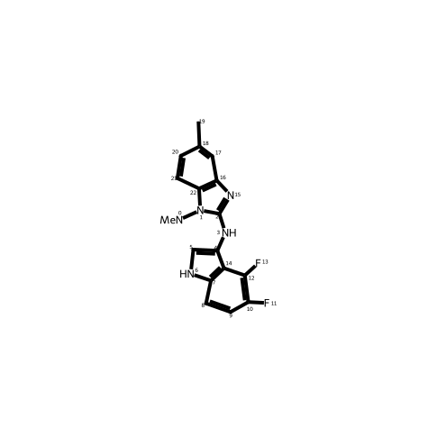 CNn1c(Nc2c[nH]c3ccc(F)c(F)c23)nc2cc(C)ccc21